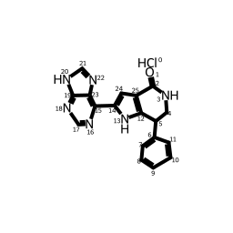 Cl.O=C1NCC(c2ccccc2)c2[nH]c(-c3ncnc4[nH]cnc34)cc21